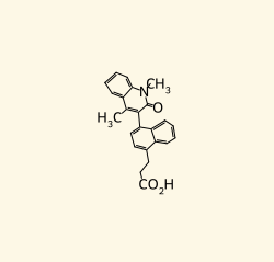 Cc1c(-c2ccc(CCC(=O)O)c3ccccc23)c(=O)n(C)c2ccccc12